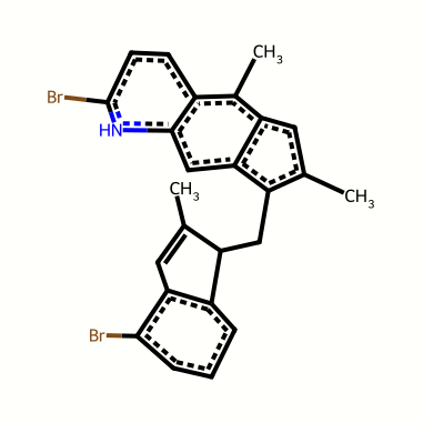 CC1=Cc2c(Br)cccc2C1Cc1c(C)cc2c(C)c3ccc(Br)[nH]c3cc12